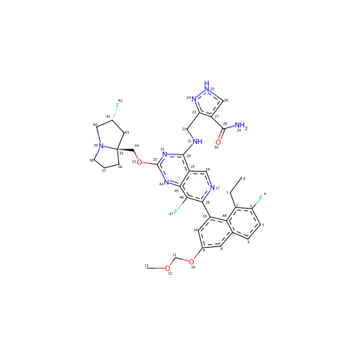 CCc1c(F)ccc2cc(OCOC)cc(-c3ncc4c(NCc5n[nH]cc5C(N)=O)nc(OC[C@@]56CCCN5C[C@H](F)C6)nc4c3F)c12